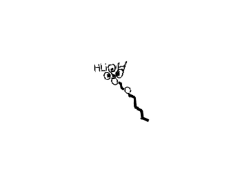 CCCCCCOCCOS(=O)(=O)O.[LiH]